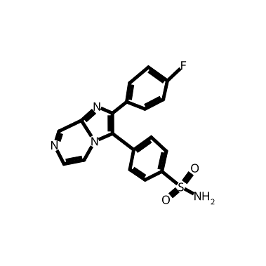 NS(=O)(=O)c1ccc(-c2c(-c3ccc(F)cc3)nc3cnccn23)cc1